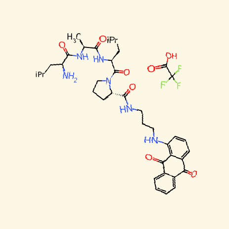 CC(C)C[C@H](NC(=O)[C@H](C)NC(=O)[C@@H](N)CC(C)C)C(=O)N1CCC[C@H]1C(=O)NCCCNc1cccc2c1C(=O)c1ccccc1C2=O.O=C(O)C(F)(F)F